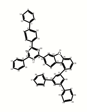 c1ccc(-c2ccc(-c3nc(-c4ccccc4)nc(-c4ccc5c(c4)oc4cccc(-c6cc(-c7ccccc7)cc(-c7ccccc7)c6)c45)n3)cc2)cc1